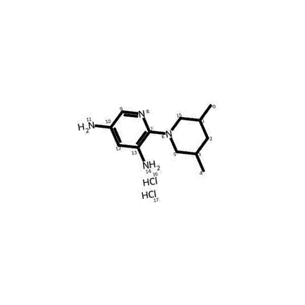 CC1CC(C)CN(c2ncc(N)cc2N)C1.Cl.Cl